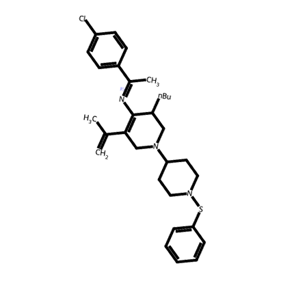 C=C(C)C1=C(/N=C(\C)c2ccc(Cl)cc2)C(CCCC)CN(C2CCN(Sc3ccccc3)CC2)C1